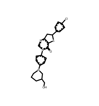 O=c1c2c(ncn1-c1ccc(N3CCCC(CO)C3)cc1)CC(c1ccc(Cl)cc1)S2